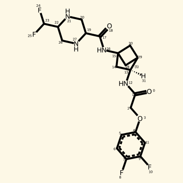 O=C(COc1ccc(F)c(F)c1)N[C@H]1CC2(NC(=O)C3CNC(C(F)F)CN3)CC1C2